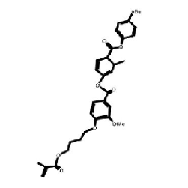 C=C(C)C(=O)OCCCCOc1ccc(C(=O)OC2=CC(C)C(C(=O)Oc3ccc(CCCC)cc3)C=C2)cc1OC